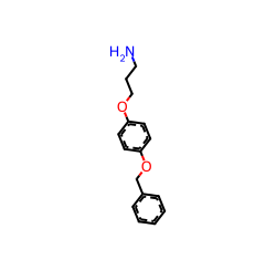 NCCCOc1ccc(OCc2ccccc2)cc1